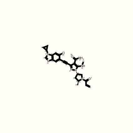 C=CC(=O)N1C[C@@H](n2nc(C#Cc3cc4ncn(C5CC5)c4cc3Cl)c(C(N)=O)c2NC)C[C@@H]1C